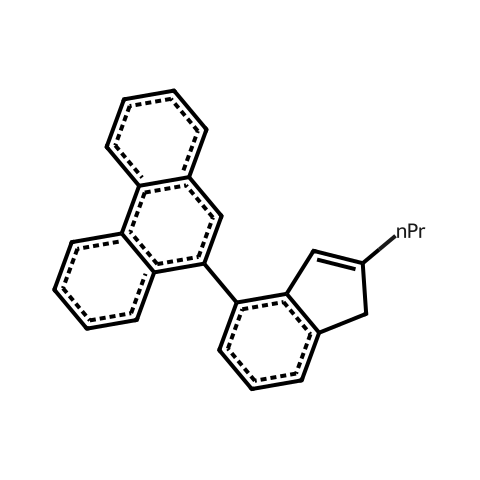 CCCC1=Cc2c(cccc2-c2cc3ccccc3c3ccccc23)C1